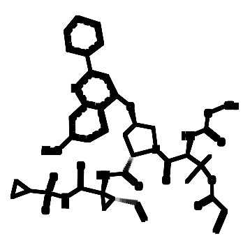 C=CC(=O)OC(C)(C)[C@H](NC(=O)OC(C)(C)C)C(=O)N1C[C@H](Oc2cc(-c3ccccc3)nc3cc(OC)ccc23)C[C@H]1C(=O)N[C@]1(C(=O)NS(=O)(=O)C2CC2)C[C@H]1C=C